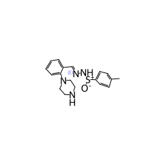 Cc1ccc([S+]([O-])N/N=C/c2ccccc2N2CCNCC2)cc1